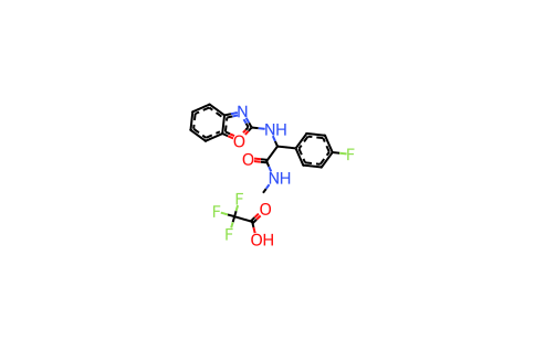 CNC(=O)C(Nc1nc2ccccc2o1)c1ccc(F)cc1.O=C(O)C(F)(F)F